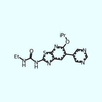 CCNC(=O)Nc1nc2cc(-c3cncnc3)c(OC(C)C)nc2s1